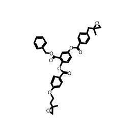 CC1(CCOc2ccc(C(=O)Oc3ccc(OC(=O)c4ccc(CC5(C)CO5)cc4)cc3C(=O)OCc3ccccc3)cc2)CO1